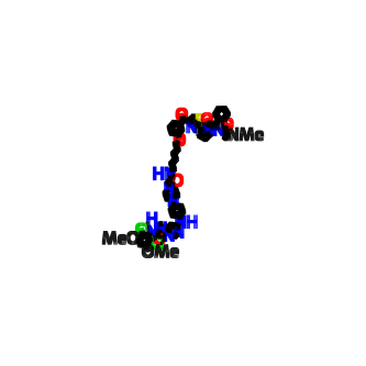 CN[C@@H](C)C(=O)N[C@H](C(=O)N1CCC[C@H]1c1nc(C(=O)c2cccc(OCCCCCCNC(=O)CN3CCN(c4ccc(Nc5cc(N(C)C(=O)Nc6c(Cl)c(OC)cc(OC)c6Cl)ncn5)cc4)CC3)c2)cs1)C1CCCCC1